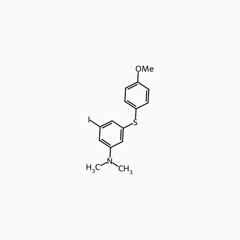 COc1ccc(Sc2cc(I)cc(N(C)C)c2)cc1